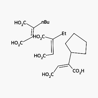 CC/C(=C/C(=O)O)C(=O)O.CCCC/C(=C/C(=O)O)C(=O)O.O=C(O)/C=C(\C(=O)O)C1CCCC1